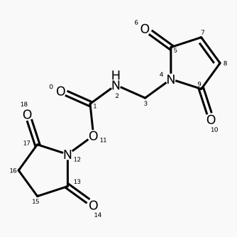 O=C(NCN1C(=O)C=CC1=O)ON1C(=O)CCC1=O